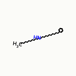 CCCCCCCCCCCNCCCCCCCCCCCc1ccccc1